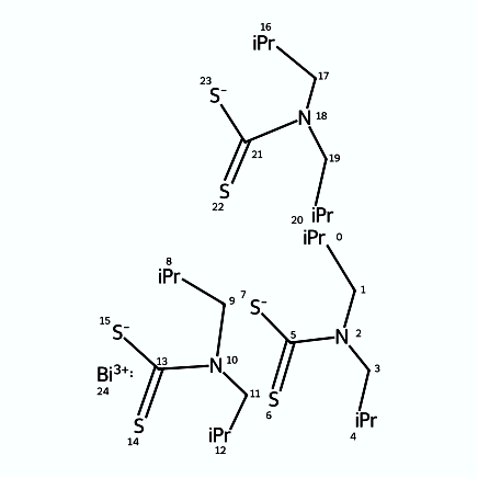 CC(C)CN(CC(C)C)C(=S)[S-].CC(C)CN(CC(C)C)C(=S)[S-].CC(C)CN(CC(C)C)C(=S)[S-].[Bi+3]